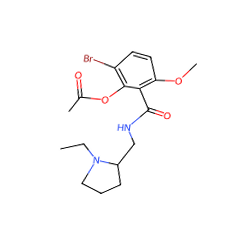 CCN1CCCC1CNC(=O)c1c(OC)ccc(Br)c1OC(C)=O